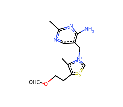 Cc1ncc(C[n+]2csc(CCOC=O)c2C)c(N)n1